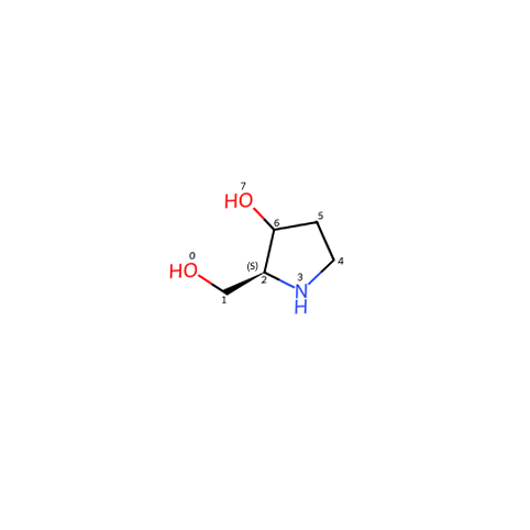 OC[C@@H]1NCCC1O